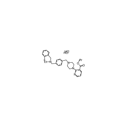 CCN(Cc1ccc(CN2CCN(c3ncccc3C(=O)OC(C)C)CC2)cc1)Cc1ccccc1F.Cl.Cl